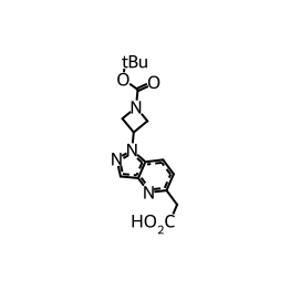 CC(C)(C)OC(=O)N1CC(n2ncc3nc(CC(=O)O)ccc32)C1